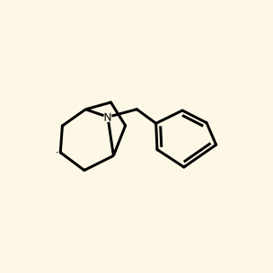 [CH]1CC2CCC(C1)N2Cc1ccccc1